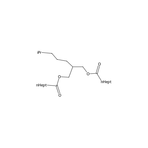 CCCCCCCC(=O)OCC(CCCC(C)C)COC(=O)CCCCCCC